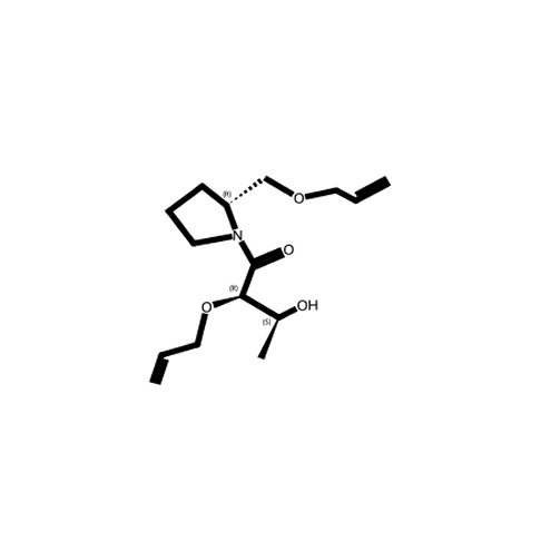 C=CCOC[C@H]1CCCN1C(=O)[C@H](OCC=C)[C@H](C)O